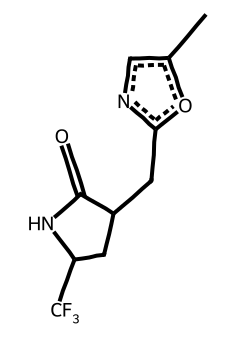 Cc1cnc(CC2CC(C(F)(F)F)NC2=O)o1